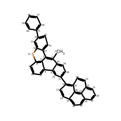 Cc1c2c3c(cccc3c3cc(-c4ccc5ccc6cccc7ccc4c5c67)ccc13)Sc1cc(-c3ccccc3)ccc1-2